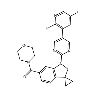 O=C(c1ccc2c(c1)N(c1ncc(-c3cc(F)cnc3F)cn1)CC21CC1)N1CCOCC1